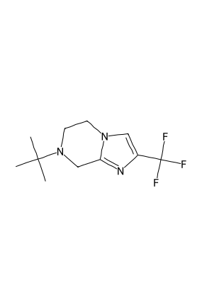 CC(C)(C)N1CCn2cc(C(F)(F)F)nc2C1